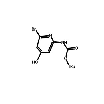 CC(C)(C)OC(=O)Nc1cc(O)cc(Br)n1